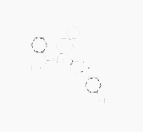 Cc1ccc(S(=O)(=O)OC(=O)[C@@H]2CC3(CC[C@@H]2N[C@@H](C)c2ccccc2)OCCO3)cc1